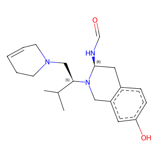 CC(C)[C@@H](CN1CC=CCC1)N1Cc2cc(O)ccc2C[C@@H]1NC=O